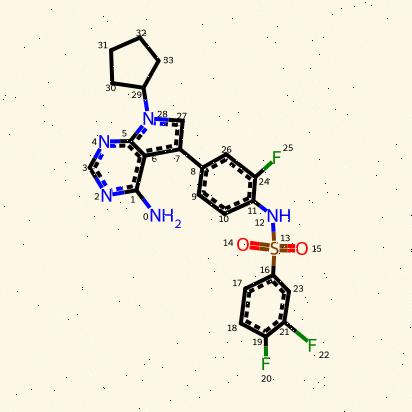 Nc1ncnc2c1c(-c1ccc(NS(=O)(=O)c3ccc(F)c(F)c3)c(F)c1)cn2C1CCCC1